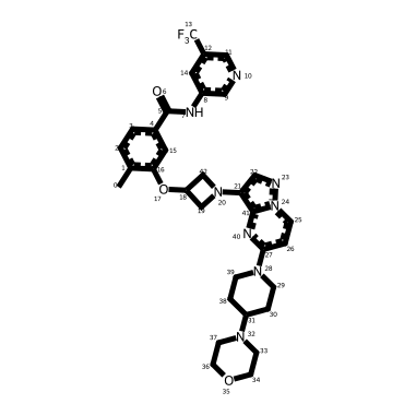 Cc1ccc(C(=O)Nc2cncc(C(F)(F)F)c2)cc1OC1CN(c2cnn3ccc(N4CCC(N5CCOCC5)CC4)nc23)C1